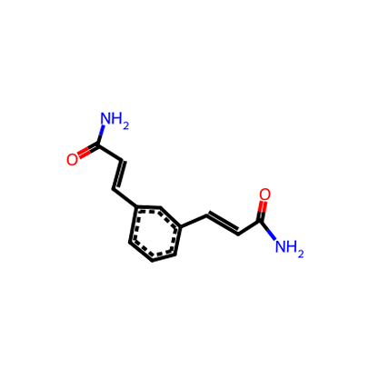 NC(=O)C=Cc1cccc(C=CC(N)=O)c1